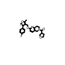 Cc1onc(-c2ccc(F)cc2)c1COc1ccc2c(n1)CCN(C(=O)C1CCOC1)C2